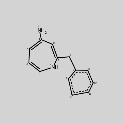 NC1=CC=CNC(Cc2ccccc2)=C1